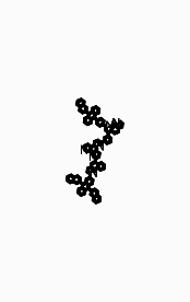 c1cc(-c2ccc3c4ccncc4c4nc(-c5cc6ccc(-c7ccc8c(-c9ccc%10ccccc%10c9)c9ccccc9c(-c9ccc%10ccccc%10c9)c8c7)nc6c6ccccc56)ccc4c3n2)cc(-c2cc(-c3ccc(-c4c5ccccc5c(-c5ccc6ccccc6c5)c5ccccc45)cc3)nc3c2ccc2cccnc23)c1